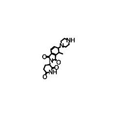 CC1C2=C(C=CC1N1CCNCC1)C(=O)N(C1CCC(=O)NC1=O)C2=O